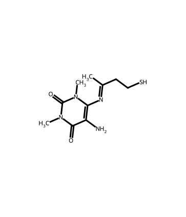 C/C(CCS)=N\c1c(N)c(=O)n(C)c(=O)n1C